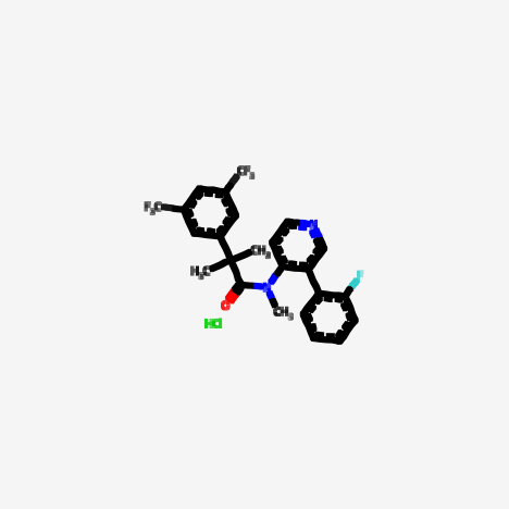 CN(C(=O)C(C)(C)c1cc(C(F)(F)F)cc(C(F)(F)F)c1)c1ccncc1-c1ccccc1F.Cl